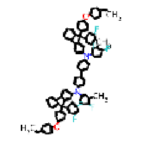 C=Cc1ccc(Oc2ccc(C3(c4cc(F)cc(F)c4)c4ccccc4-c4ccc(N(c5ccc(-c6ccc(N(c7ccc(F)c(C)c7)c7ccc8c(c7)C(c7ccc(Oc9ccc(C=C)cc9)cc7)(c7cc(F)cc(F)c7)c7ccccc7-8)cc6)cc5)c5ccc(F)c(C)c5)cc43)cc2)cc1